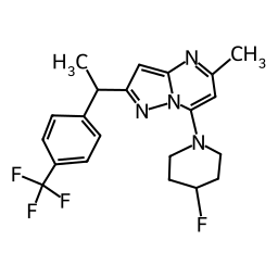 Cc1cc(N2CCC(F)CC2)n2nc(C(C)c3ccc(C(F)(F)F)cc3)cc2n1